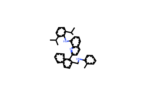 Cc1ccccc1NCc1ccc2ccccc2c1-c1ccc2cccc(Nc3c(C(C)C)cccc3C(C)C)c2n1